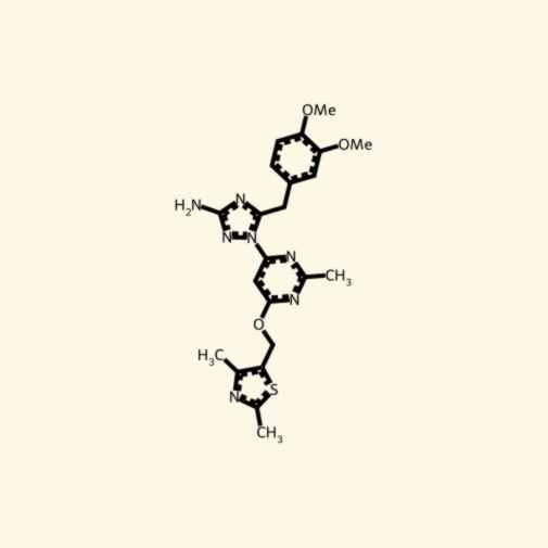 COc1ccc(Cc2nc(N)nn2-c2cc(OCc3sc(C)nc3C)nc(C)n2)cc1OC